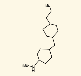 CCC(C)CCC1CCC(CC2CCC(NC(C)CC)CC2)CC1